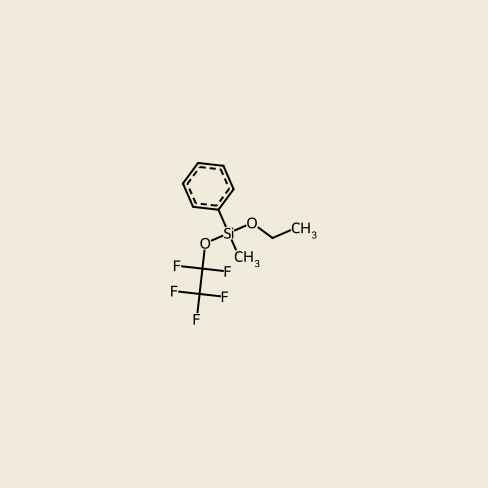 CCO[Si](C)(OC(F)(F)C(F)(F)F)c1ccccc1